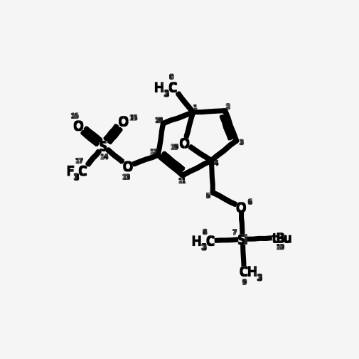 CC12C=CC(CO[Si](C)(C)C(C)(C)C)(C=C(OS(=O)(=O)C(F)(F)F)C1)O2